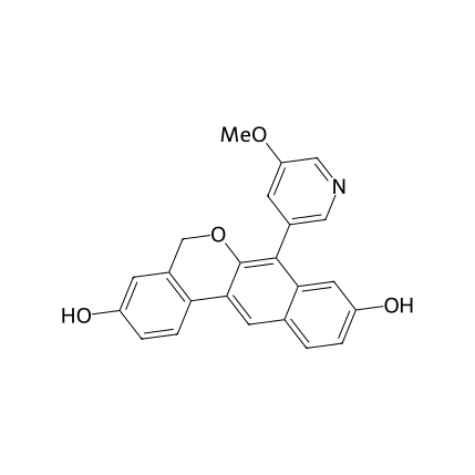 COc1cncc(-c2c3c(cc4ccc(O)cc24)-c2ccc(O)cc2CO3)c1